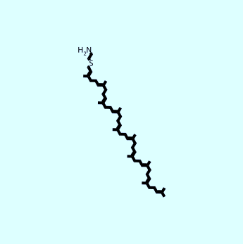 CC(C)=CCCC(C)=CCCC(C)=CCCC(C)=CCCC(C)=CCCC(C)=CCCC(C)=CCCC(C)=CCCC(C)=CCCC(C)=CCSCCN